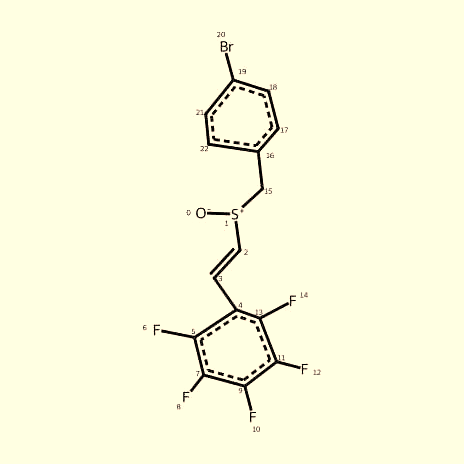 [O-][S+](/C=C/c1c(F)c(F)c(F)c(F)c1F)Cc1ccc(Br)cc1